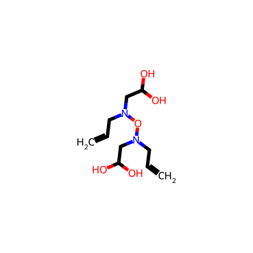 C=CCN(CC(O)O)ON(CC=C)CC(O)O